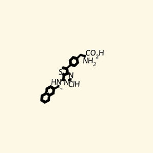 C[C@@H](Nc1ncnc2c(-c3ccc(CC(N)C(=O)O)cc3)csc12)c1ccc2ccccc2c1.Cl